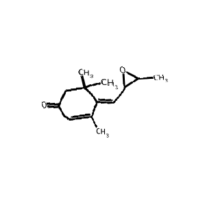 CC1=CC(=O)CC(C)(C)/C1=C\C1OC1C